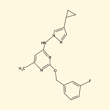 Cc1cc(Nn2cc(C3CC3)cn2)nc(OCc2cccc(F)c2)n1